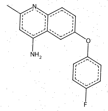 Cc1cc(N)c2cc(Oc3ccc(F)cc3)ccc2n1